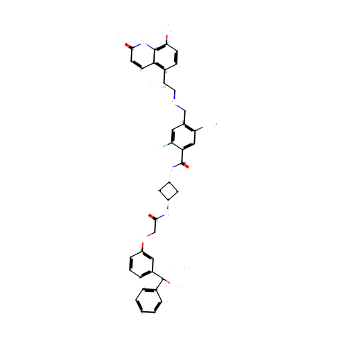 COc1cc(C(=O)N[C@H]2C[C@H](NC(=O)COc3cccc([C@](O)(C(=O)O)c4ccccc4)c3)C2)c(F)cc1CNC[C@H](O)c1ccc(O)c2[nH]c(=O)ccc12